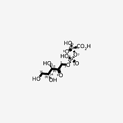 O=C(COP(=O)(O)OP(=O)(O)C(=O)O)[C@H](O)[C@H](O)CO